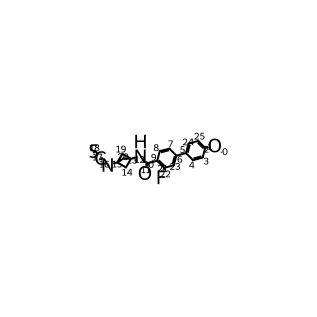 COc1ccc(-c2ccc(C(=O)NC34CC(N=C=S)(C3)C4)c(F)c2)cc1